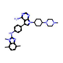 Cc1ccc(C)c2c1nc(Nc1ccc(-c3cn(C4CCC(N5CCN(C)CC5)CC4)c4ncnc(N)c34)cc1)n2C